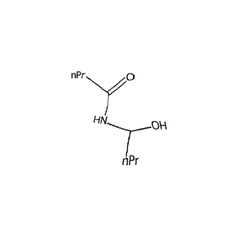 CCCC(=O)NC(O)CCC